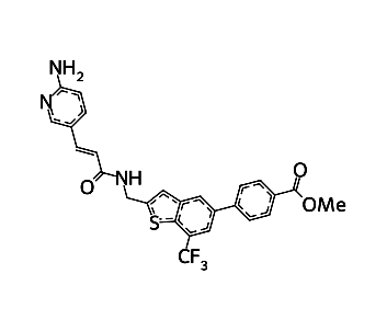 COC(=O)c1ccc(-c2cc(C(F)(F)F)c3sc(CNC(=O)C=Cc4ccc(N)nc4)cc3c2)cc1